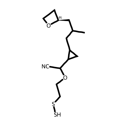 CC(CC1CC1C(C#N)OCCSS)C[C@@H]1CCO1